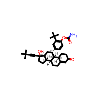 CC(C)(C)C#C[C@]1(O)CC[C@H]2[C@@H]3CCC4=CC(=O)CC[C@@H]4[C@H]3[C@@H](c3ccc(OC(N)=O)c(C(C)(C)C)c3)C[C@@]21C